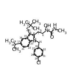 CNC(=O)N(O)CCc1c(SC(C)(C)C)c2cc(C(C)C)ccc2n1Cc1ccc(Cl)cc1